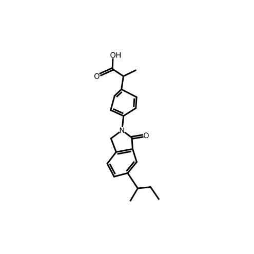 CCC(C)c1ccc2c(c1)C(=O)N(c1ccc(C(C)C(=O)O)cc1)C2